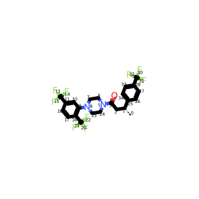 C[C@H](CC(=O)N1CCN(c2cc(C(F)(F)F)ccc2C(F)(F)F)CC1)c1ccc(C(F)(F)F)cc1